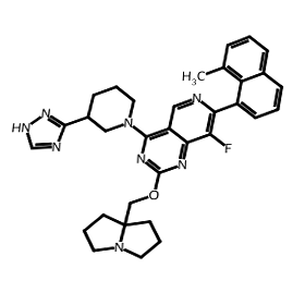 Cc1cccc2cccc(-c3ncc4c(N5CCCC(c6nc[nH]n6)C5)nc(OCC56CCCN5CCC6)nc4c3F)c12